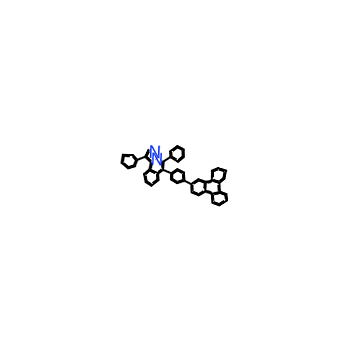 c1ccc(-c2cnn3c(-c4ccccc4)c(-c4ccc(-c5ccc6c7ccccc7c7ccccc7c6c5)cc4)c4ccccc4c23)cc1